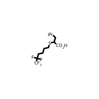 CC(C)CC(SCCCCC(F)(F)C(F)(F)F)C(=O)O